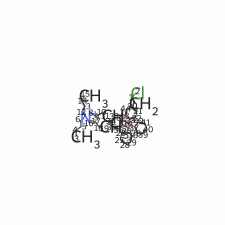 C=CCl.CCCC[N+](CCCC)(CCCC)CCCC.c1ccc([B-](c2ccccc2)(c2ccccc2)c2ccccc2)cc1